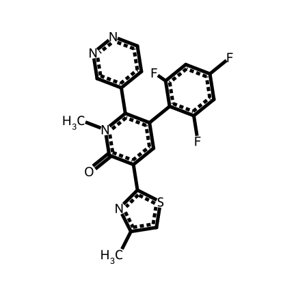 Cc1csc(-c2cc(-c3c(F)cc(F)cc3F)c(-c3ccnnc3)n(C)c2=O)n1